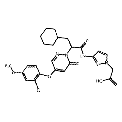 C=C(O)Cn1ccc(NC(=O)C(CC2CCCCC2)n2ncc(Oc3ccc(OC(F)(F)F)cc3Cl)cc2=O)n1